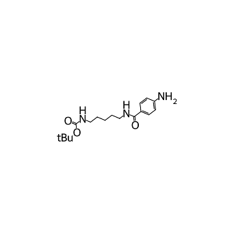 CC(C)(C)OC(=O)NCCCCCNC(=O)c1ccc(N)cc1